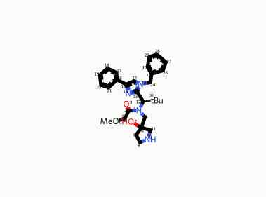 COCC(=O)N(CC1(O)CCNC1)[C@@H](c1nc(-c2ccccc2)cn1Cc1ccccc1)C(C)(C)C